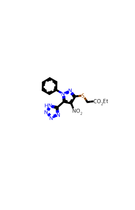 CCOC(=O)CSc1nn(-c2ccccc2)c(-c2nnn[nH]2)c1[N+](=O)[O-]